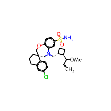 C=CC(OC)[C@@H]1CC[C@H]1CN1C[C@]2(CCCc3cc(Cl)ccc32)COc2ccc(S(N)(=O)=O)cc21